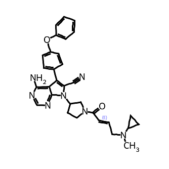 CN(C/C=C/C(=O)N1CCC(n2c(C#N)c(-c3ccc(Oc4ccccc4)cc3)c3c(N)ncnc32)C1)C1CC1